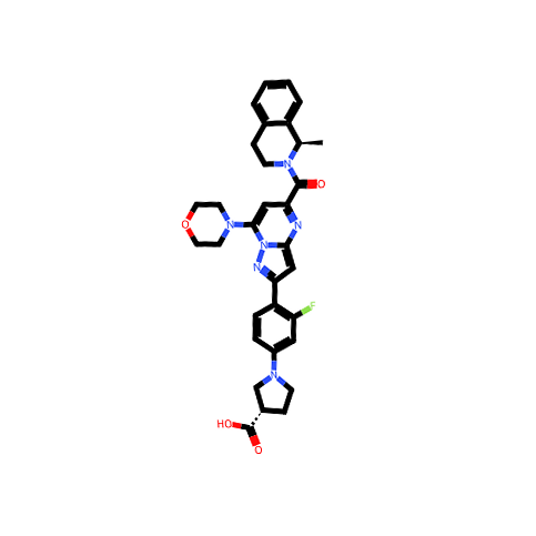 C[C@@H]1c2ccccc2CCN1C(=O)c1cc(N2CCOCC2)n2nc(-c3ccc(N4CC[C@H](C(=O)O)C4)cc3F)cc2n1